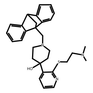 CN(C)CCSc1ncccc1C1(O)CCN(CC23CC(c4ccccc42)c2ccccc23)CC1